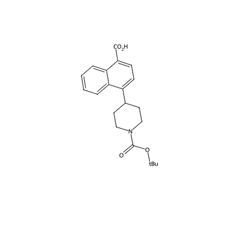 CC(C)(C)OC(=O)N1CCC(c2ccc(C(=O)O)c3ccccc23)CC1